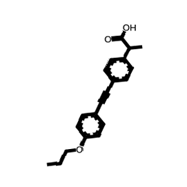 CCCOc1ccc(C#Cc2ccc(C(C)C(=O)O)cc2)cc1